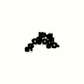 COc1ccc([C@H]2CC[C@H](CN(c3cc(-c4cnn(C(C)(C)C)c4)ccn3)C(=O)[C@H]3CC[C@H](OC(=O)N4CCC(C)CC4)CC3)CC2)cc1C